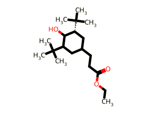 CCOC(=O)CCC1CC(C(C)(C)C)C(O)[C@H](C(C)(C)C)C1